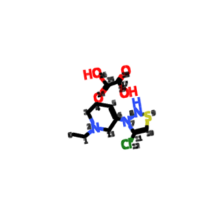 CCN1CCC=C(N2NSC=C2Cl)C1.O=C(O)C(=O)O